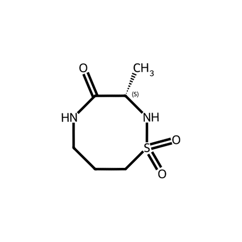 C[C@@H]1NS(=O)(=O)CCCNC1=O